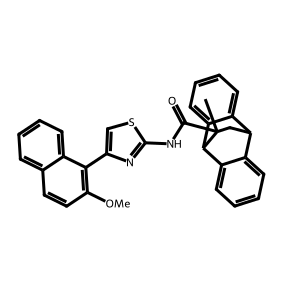 COc1ccc2ccccc2c1-c1csc(NC(=O)C2(C)CC3c4ccccc4C2c2ccccc23)n1